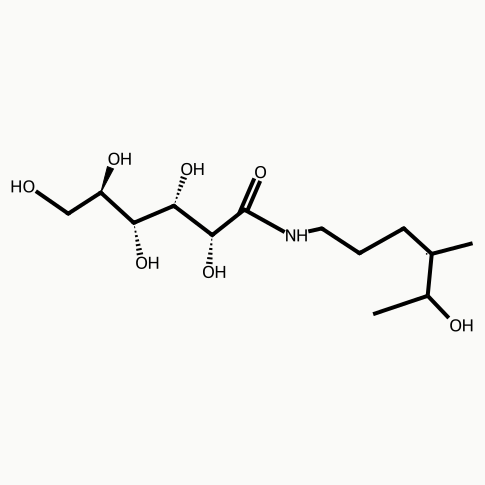 C[C](CCCNC(=O)[C@H](O)[C@@H](O)[C@H](O)[C@H](O)CO)C(C)O